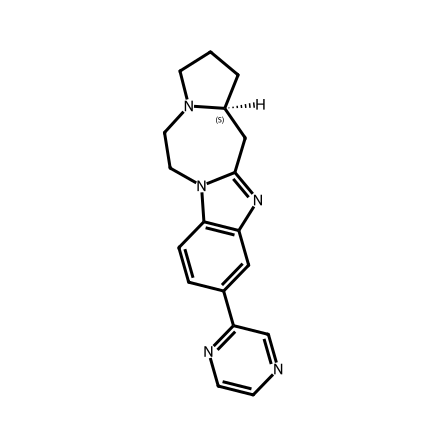 c1cnc(-c2ccc3c(c2)nc2n3CCN3CCC[C@H]3C2)cn1